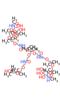 CC(=O)NC1C(OC(C)(C)CCOC(C)(C)CCOCCNC(=O)CCOCC(COCCC(=O)NCCOCCC(C)(C)OCCC(C)(C)O)(COCCC(=O)NCCOCCC(C)(C)OCCC(C)(C)OC(OC(CO)[C@@H](C)O)[C@H](CO)NC(C)=O)C(C)(C)C)CC(CO)C(O)C1O